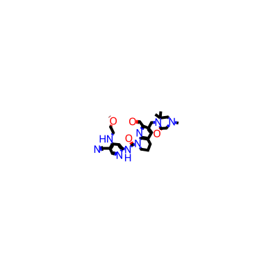 COCCNc1cc(NC(=O)N2CCCc3cc(CN4C(=O)CN(C)CC4(C)C)c(C=O)nc32)ncc1C#N